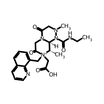 CCNC(=O)N1[C@H]2[C@H](C)[N+](CC(=O)O)(Cc3cccc4cccnc34)C(=O)CN2C(=O)CN1C